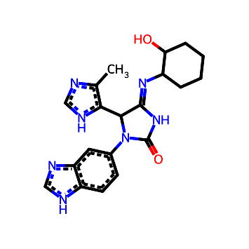 Cc1nc[nH]c1C1C(=NC2CCCCC2O)NC(=O)N1c1ccc2[nH]cnc2c1